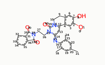 COc1cc2c(cc1O)CCn1c-2c/c(=N\c2c(C)cc(C)cc2C)n(CCN2C(=O)c3ccccc3C2=O)c1=O